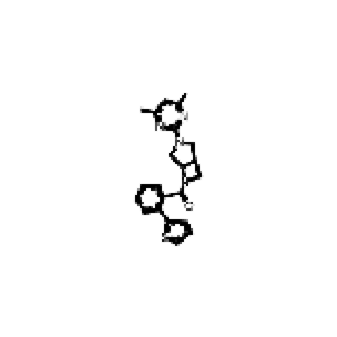 Cc1cc(C)nc(N2CC3CN(C(=O)c4ccccc4-c4cccs4)C3C2)n1